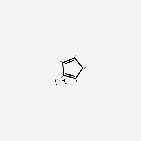 C1=CCC=C1.[GeH4]